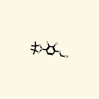 CC1(C)OB(c2ccc(OCC#N)c(Cl)c2F)OC1(C)C